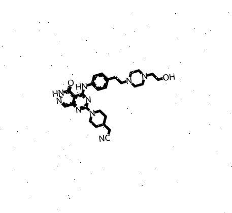 N#CCC1CCN(c2nc(Nc3ccc(CCN4CCN(CCO)CC4)cc3)c3c(=O)[nH]ncc3n2)CC1